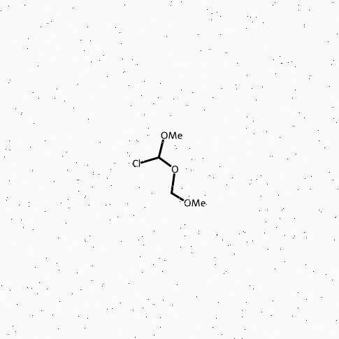 COCOC(Cl)OC